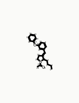 CCCCC1C(=Cc2cccc(Oc3ccccc3)c2)CCN1C(C)=O